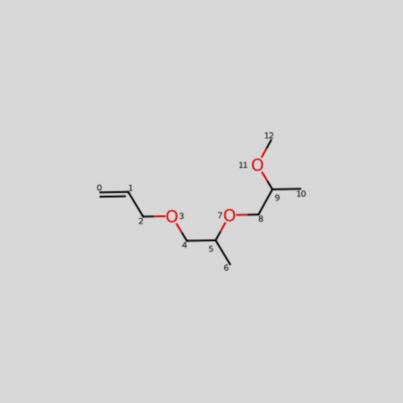 C=CCOCC(C)OCC(C)OC